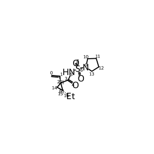 C=C[C@]1(C(=O)NS(=O)(=O)N2CCCC2)C[C@H]1CC